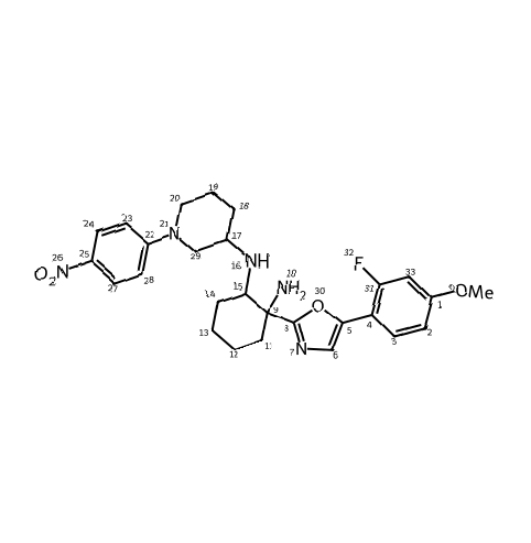 COc1ccc(-c2cnc(C3(N)CCCCC3NC3CCCN(c4ccc([N+](=O)[O-])cc4)C3)o2)c(F)c1